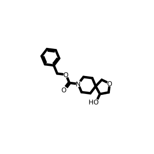 O=C(OCc1ccccc1)N1CCC2(CC1)COCC2O